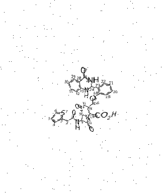 O=C(Cc1cccs1)NC1C(=O)N2C(C(=O)O)=C(COc3ccccc3C3NC(=O)c4ccccc4N3)C[S+]([O-])C12